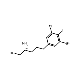 CC(C)c1cc(CCC[C@@H](N)CO)cc(Cl)c1F